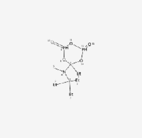 CCC(CC)(CC)N(C)C1(CC)O[PH](=O)O[PH](=O)O1